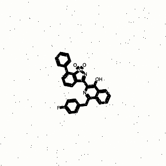 O=S1(=O)N=C(c2nc(Cc3ccc(F)cc3)c3ccccc3c2O)c2cccc(-c3ccccc3)c21